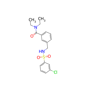 CCN(CC)C(=O)c1cccc(CNS(=O)(=O)c2cccc(Cl)c2)c1